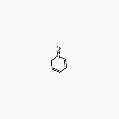 [Se]=[AsH]1C=CC=CC1